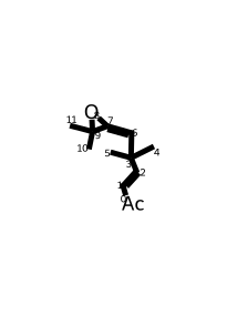 CC(=O)C=CC(C)(C)C=C1OC1(C)C